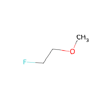 COCCF